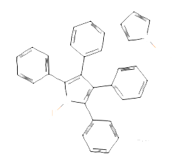 P[c-]1c(-c2ccccc2)c(-c2ccccc2)c(-c2ccccc2)c1-c1ccccc1.P[c-]1cccc1.[Fe+2]